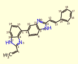 C=Cc1nc2c(-c3ccc4[nH]c(C=Cc5ccccc5)nc4c3)cccc2[nH]1